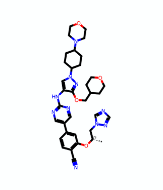 C[C@@H](Cn1cncn1)Oc1cc(-c2cnc(Nc3cn(C4CCC(N5CCOCC5)CC4)nc3OCC3CCOCC3)nc2)ccc1C#N